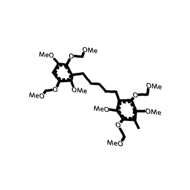 COCOc1cc(OC)c(OCOC)c(CCCCCc2c(OC)c(OCOC)c(C)c(OC)c2OCOC)c1OC